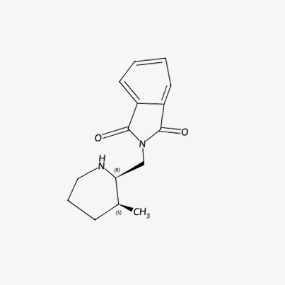 C[C@H]1CCCN[C@H]1CN1C(=O)c2ccccc2C1=O